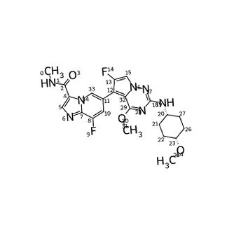 CNC(=O)c1cnc2c(F)cc(-c3c(F)cn4nc(N[C@H]5CC[C@@H](OC)CC5)nc(OC)c34)cn12